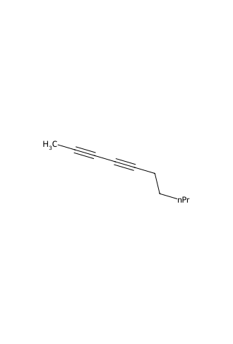 CC#CC#CCCCCC